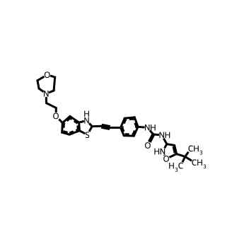 CC(C)(C)C1=CC(NC(=O)Nc2ccc(C#CC3Nc4cc(OCCN5CCOCC5)ccc4S3)cc2)NO1